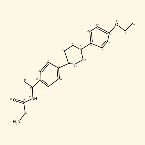 CCOc1ccc(N2CCC(c3ccc(C(C)NC(=O)CN)cc3)CC2)cc1